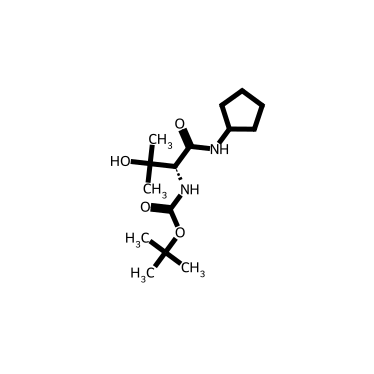 CC(C)(C)OC(=O)N[C@@H](C(=O)NC1CCCC1)C(C)(C)O